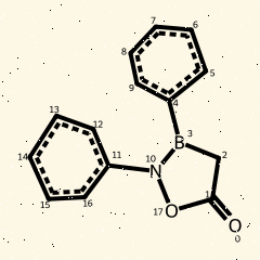 O=C1CB(c2ccccc2)N(c2ccccc2)O1